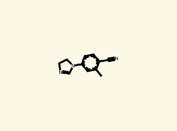 Cc1cc(N2C=NCC2)ccc1C#N